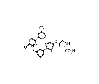 N#Cc1cccc(-c2ccc(=O)n(Cc3cccc(-c4ncc(O[C@@H]5CN[C@H](C(=O)O)C5)cn4)c3)n2)c1